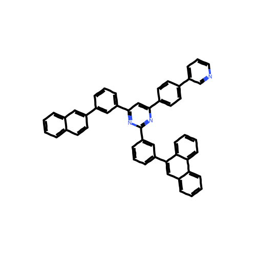 c1cncc(-c2ccc(-c3cc(-c4cccc(-c5ccc6ccccc6c5)c4)nc(-c4cccc(-c5cc6ccccc6c6ccccc56)c4)n3)cc2)c1